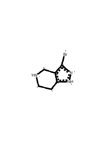 Brc1n[nH]c2c1CNCC2